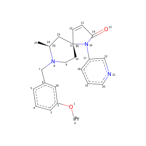 CC(C)Oc1cccc(CN2CC[C@]3(C=CC(=O)N3c3cccnc3)C[C@@H]2C)c1